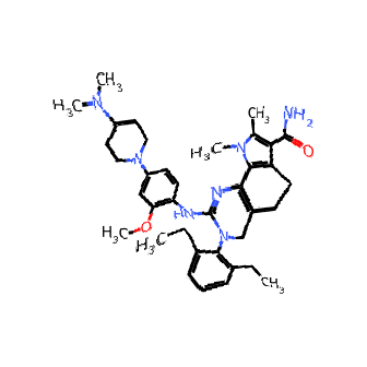 CCc1cccc(CC)c1N1CC2=C(N=C1Nc1ccc(N3CCC(N(C)C)CC3)cc1OC)c1c(c(C(N)=O)c(C)n1C)CC2